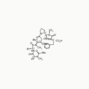 CC[C@H](C)[C@@H]([C@@H](CC(=O)N1CCC[C@H]1[C@H](OC)[C@@H](C)C(=O)N[C@@H](Cc1ccccc1)C(=O)O)OC)N(C)C(=O)[C@@H](NC(=O)[C@H](C(C)C)N(C)C(=O)C(C)(C)C)C(C)C